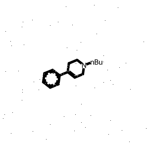 CCC[CH]N1CC=C(c2ccccc2)CC1